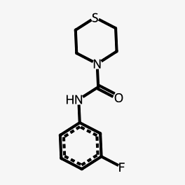 O=C(Nc1cccc(F)c1)N1CCSCC1